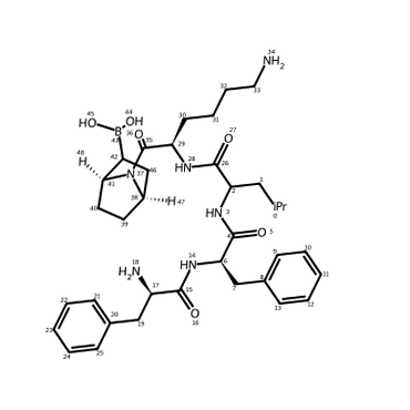 CC(C)CC(NC(=O)[C@@H](Cc1ccccc1)NC(=O)[C@H](N)Cc1ccccc1)C(=O)N[C@H](CCCCN)C(=O)N1[C@@H]2CC[C@H]1C(B(O)O)C2